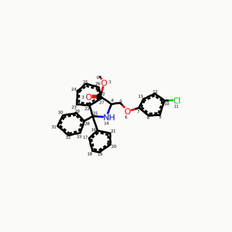 COC(=O)C(COc1ccc(Cl)cc1)NC(c1ccccc1)(c1ccccc1)c1ccccc1